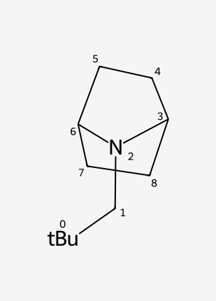 CC(C)(C)CN1C2CCC1CC2